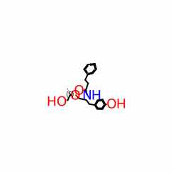 C[C@@H](CO)OCC(Cc1ccc(O)cc1)NC(=O)CCc1ccccc1